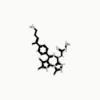 C/C(=C\CCO)c1ccc(C2=N[C@@H](CC(=O)OC(C)(C)C)c3nnc(C)n3-c3sc(C)c(C)c32)cc1